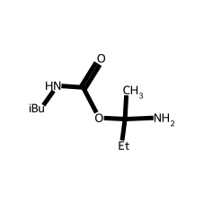 CCC(C)NC(=O)OC(C)(N)CC